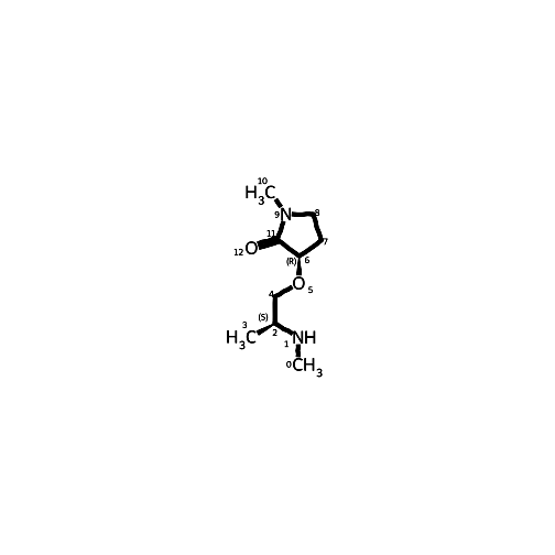 CN[C@@H](C)CO[C@@H]1CCN(C)C1=O